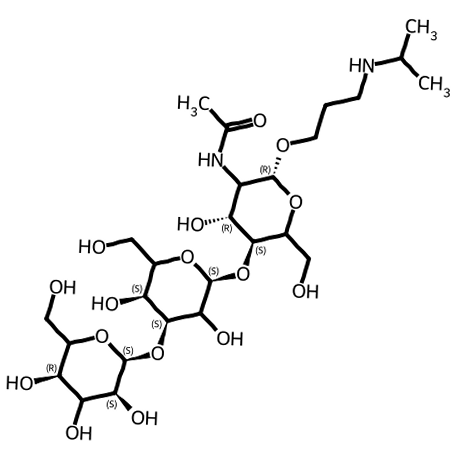 CC(=O)NC1[C@H](OCCCNC(C)C)OC(CO)[C@@H](O[C@@H]2OC(CO)[C@H](O)[C@H](O[C@@H]3OC(CO)[C@H](O)C(O)[C@@H]3O)C2O)[C@@H]1O